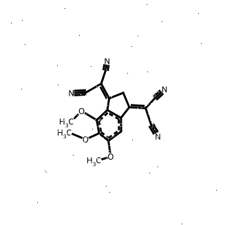 COc1cc2c(c(OC)c1OC)C(=C(C#N)C#N)CC2=C(C#N)C#N